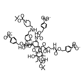 CN(C(=O)OC(C)(C)C)[C@@H]1[C@@H](O)[C@@H](O[C@H]2[C@H](NC(=O)[C@H](O)CCNC(=O)OCc3ccc([N+](=O)[O-])cc3)C[C@H](NC(=O)OCc3ccc([N+](=O)[O-])cc3)C([C@H]3OC(CNCC4CCN(C(=O)OC(C)(C)C)CC4)=CC[C@H]3NC(O)OCc3ccc([N+](=O)[O-])cc3)[C@@H]2O)OC[C@]1(C)O